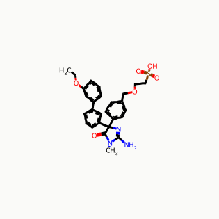 CCOc1cccc(-c2cccc(C3(c4ccc(COCCS(=O)(=O)O)cc4)N=C(N)N(C)C3=O)c2)c1